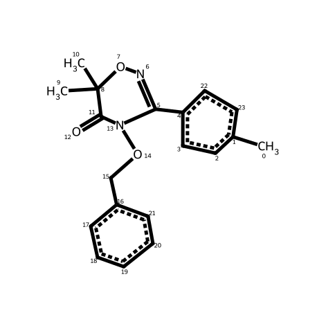 Cc1ccc(C2=NOC(C)(C)C(=O)N2OCc2ccccc2)cc1